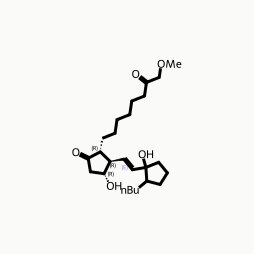 CCCCC1CCCC1(O)/C=C/[C@H]1[C@H](O)CC(=O)[C@@H]1CCCCCCC(=O)COC